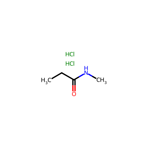 CCC(=O)NC.Cl.Cl